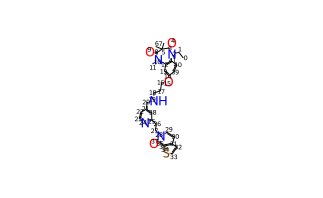 CCN1C(=O)C(C)(C)C(=O)N(C)c2cc(OCCCNCc3ccnc(CCn4ccc5ccsc5c4=O)c3)ccc21